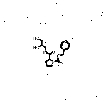 O=C(NCC(O)CO)[C@@H]1CCCN1C(=O)OCc1ccccc1